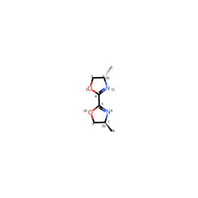 C[C@H]1COC(C2=N[C@@H](C)CO2)=N1